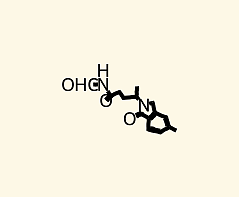 Cc1ccc2c(c1)CN(C(C)CCC(=O)NC=O)C2=O